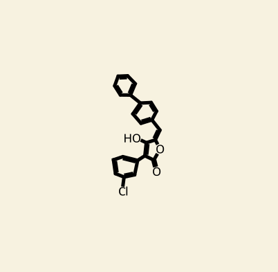 O=C1OC(=Cc2ccc(-c3ccccc3)cc2)C(O)=C1c1cccc(Cl)c1